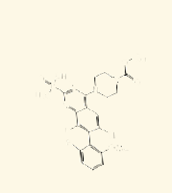 COc1cccc(F)c1-c1c(Cl)cc2c(N3CCN(C(=O)OC(C)(C)C)CC3)nc(P(C)(C)=O)nc2c1F